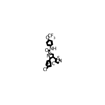 O=C(Nc1ccc(OC(F)(F)F)cc1)N1CC(c2sncc2C(F)(F)F)C(c2ccc(Cl)cc2)=N1